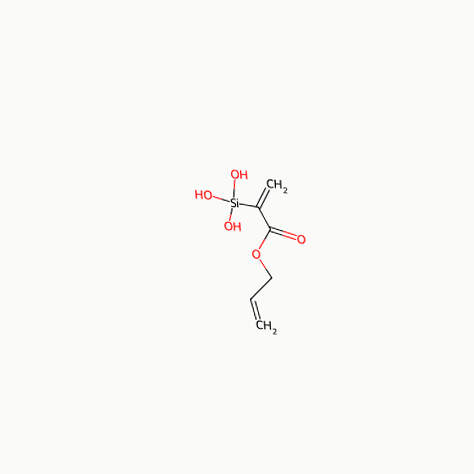 C=CCOC(=O)C(=C)[Si](O)(O)O